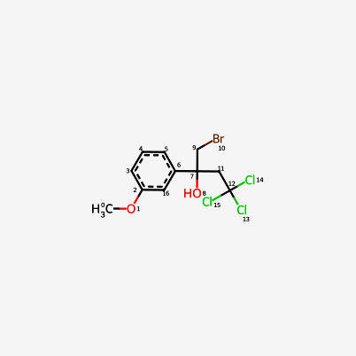 COc1cccc(C(O)(CBr)CC(Cl)(Cl)Cl)c1